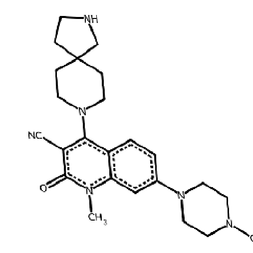 CN1CCN(c2ccc3c(N4CCC5(CCNC5)CC4)c(C#N)c(=O)n(C)c3c2)CC1